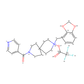 O=C(c1ccncc1)N1CCC2(CC1)CC[N+](Cc1cccc3c1OCO3)(OC(=O)C(F)(F)F)CC2